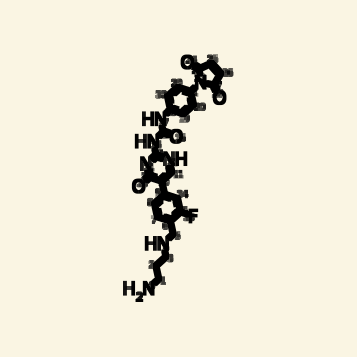 NCCCNCc1ccc(-c2c[nH]c(NC(=O)Nc3ccc(N4C(=O)C=CC4=O)cc3)nc2=O)cc1F